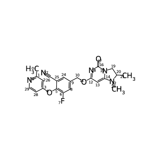 Cc1cc(Oc2c(F)cc(COc3cc4n(c(=O)n3)CC(C)N4C)cc2C#N)ccn1